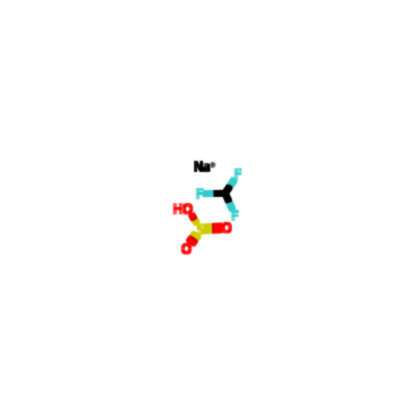 FC(F)F.O=[S-](=O)O.[Na+]